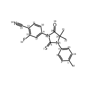 Cc1ccc(N2C(=S)N(c3ccc(C#N)c(F)c3)C(=O)C2(C)C)cc1